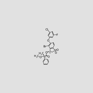 CO[C@](C)(C(=O)O[C@@H]1CS(=O)(=O)c2ccc(Oc3cc(F)cc(Cl)c3)c(Br)c21)c1ccccc1